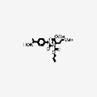 C=CCOC(=O)N(C(=O)Nc1ccc(C(C)=NO)cc1)C(CCSC)C(=O)OC